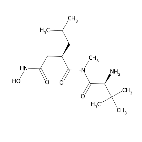 CC(C)C[C@H](CC(=O)NO)C(=O)N(C)C(=O)[C@@H](N)C(C)(C)C